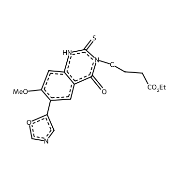 CCOC(=O)CCCn1c(=S)[nH]c2cc(OC)c(-c3cnco3)cc2c1=O